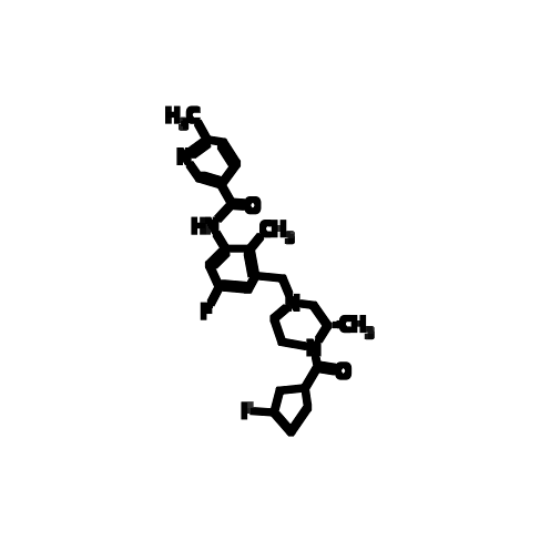 Cc1ccc(C(=O)Nc2cc(F)cc(CN3CCN(C(=O)C4CCC(F)C4)[C@@H](C)C3)c2C)cn1